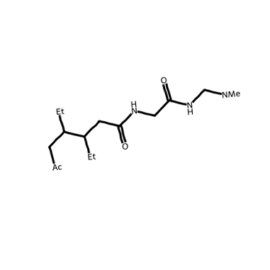 CCC(CC(C)=O)C(CC)CC(=O)NCC(=O)NCNC